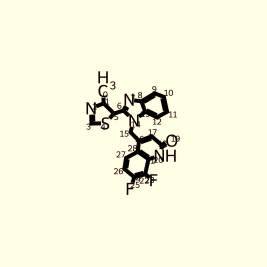 CC1N=CSC1c1nc2ccccc2n1Cc1cc(=O)[nH]c2c(F)c(F)ccc12